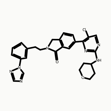 O=C1c2cc(-c3nc(NC4CCOCC4)ncc3Cl)ccc2CN1C[CH]c1cccc(-n2cncn2)c1